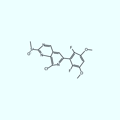 COc1cc(OC)c(F)c(-c2cc3cnc([S+](C)[O-])nc3c(Cl)n2)c1F